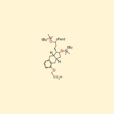 CCCCCC(CC[C@H]1C(O[Si](C)(C)C(C)(C)C)C[C@@H]2Cc3c(cccc3OCC(=O)O)C[C@@H]21)O[Si](C)(C)C(C)(C)C